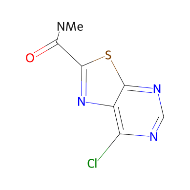 CNC(=O)c1nc2c(Cl)ncnc2s1